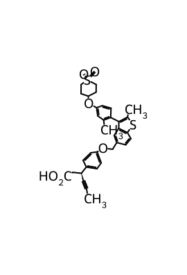 CC#C[C@@H](CC(=O)O)c1ccc(OCc2ccc3sc(C)c(-c4ccc(OC5CCS(=O)(=O)CC5)cc4C)c3c2)cc1